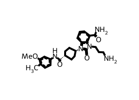 COc1cc(NC(=O)[C@H]2CC[C@@H](n3c(=O)n(CCCN)c4c(C(N)=O)cccc43)CC2)ccc1C